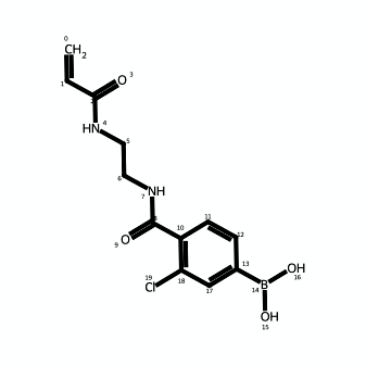 C=CC(=O)NCCNC(=O)c1ccc(B(O)O)cc1Cl